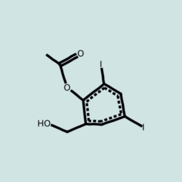 CC(=O)Oc1c(I)cc(I)cc1CO